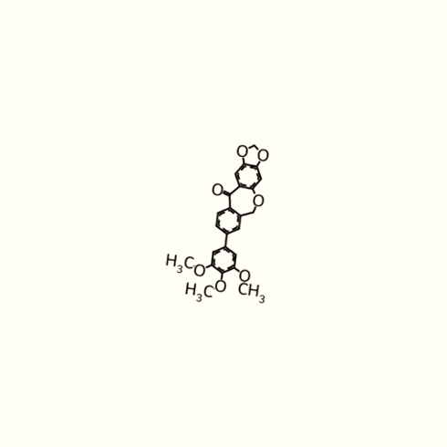 COc1cc(-c2ccc3c(c2)COc2cc4c(cc2C3=O)OCO4)cc(OC)c1OC